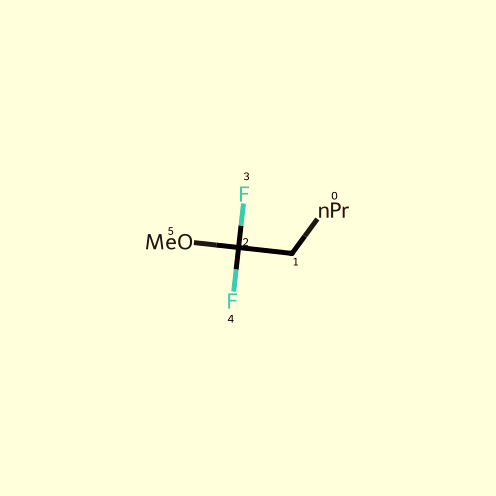 [CH2]CCCC(F)(F)OC